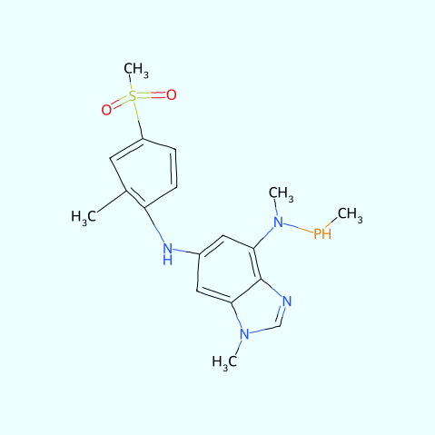 CPN(C)c1cc(Nc2ccc(S(C)(=O)=O)cc2C)cc2c1ncn2C